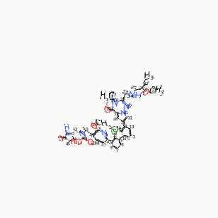 COc1nc(-c2cccc(-c3cccc(-c4cc5c(=O)n(C)c(CNC[C@H](C)OC)nn5c4)c3Cl)c2Cl)ccc1CN(C[C@@H]1CCC(=O)N1)C(=O)O